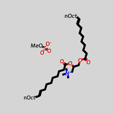 CCCCCCCCC=CCCCCCCCC(=O)OCC(C[N+](C)(C)C)OC(=O)CCCCCCCC=CCCCCCCCC.COS(=O)(=O)[O-]